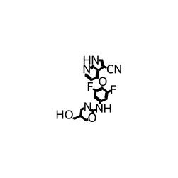 N#Cc1c[nH]c2nccc(Oc3c(F)cc(NC4=NCC(CO)CO4)cc3F)c12